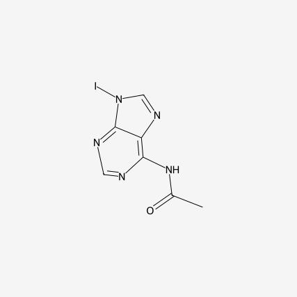 CC(=O)Nc1ncnc2c1ncn2I